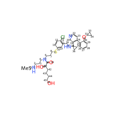 CSNCCCN(CCCSc1ccc(Cl)c(CNC2(c3cnccc3-c3ccccc3OC3CC3)CC2)c1)C(=O)C(O)CCCCO